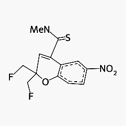 CNC(=S)C1=CC(CF)(CF)Oc2ccc([N+](=O)[O-])cc21